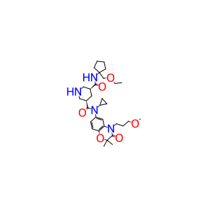 CCOCC1(NC(=O)[C@@H]2CNC[C@H](C(=O)N(c3ccc4c(c3)N(CCCOC)C(=O)C(C)(C)O4)C3CC3)C2)CCCC1